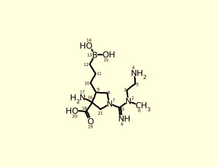 CN(CCN)C(=N)N1CC(CCCB(O)O)C(N)(C(=O)O)C1